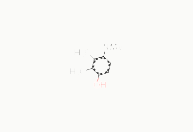 CNc1ccc(O)c(C)c1C